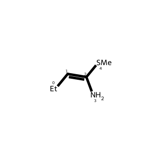 CC/C=C(\N)SC